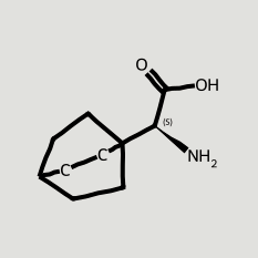 N[C@H](C(=O)O)C12CCC(CC1)CC2